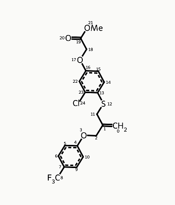 C=C(COc1ccc(C(F)(F)F)cc1)CSc1ccc(OCC(=O)OC)cc1Cl